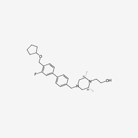 C[C@@H]1CN(Cc2ccc(-c3ccc(COC4CCCC4)c(F)c3)cc2)C[C@H](C)N1CCO